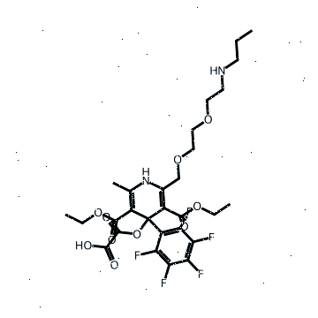 CCCNCCOCCOCC1=C(C(=O)OCC)C(OC(=O)C(=O)O)(c2c(F)c(F)c(F)c(F)c2F)C(C(=O)OCC)=C(C)N1